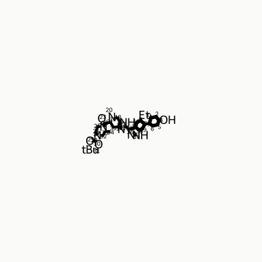 CCc1cc(O)ccc1-c1ccc2c(-c3nc4c([nH]3)CN(C)C(C(=O)N3CCN(C(=O)OC(C)(C)C)CC3C)C4)n[nH]c2c1